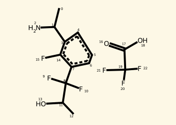 CC(N)c1cccc(C(F)(F)C(C)O)c1F.O=C(O)C(F)(F)F